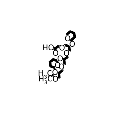 CC1(C)OCC(COCC(COCC(COCC(=O)O)OC2CCCCO2)OC2CCCCO2)O1